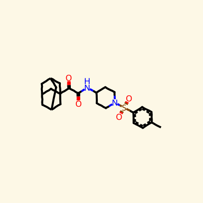 Cc1ccc(S(=O)(=O)N2CCC(NC(=O)C(=O)C34CC5CC(CC(C5)C3)C4)CC2)cc1